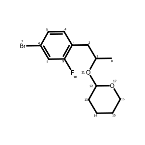 CC(Cc1ccc(Br)cc1F)OC1CCCCO1